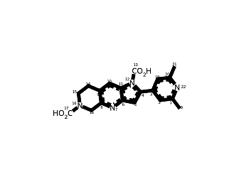 Cc1cc(-c2cc3nc4c(cc3n2C(=O)O)CCN(C(=O)O)C4)cc(C)n1